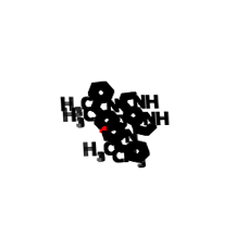 CC1(C)c2ccccc2N(C2=CCNC3=C2C(=O)C2=C(N4c5ccccc5C(C)(C)c5ccccc54)CCNC32)c2ccccc21